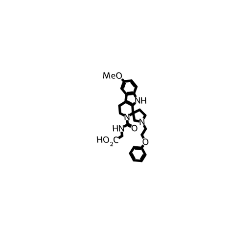 COc1ccc2[nH]c3c(c2c1)CCN(C(=O)NCC(=O)O)C31CCN(CCOc2ccccc2)C1